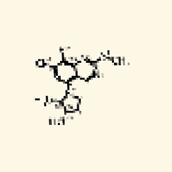 CSc1ncc2c(N3CC[C@H](O)[C@@H]3C)nc(Cl)c(F)c2n1